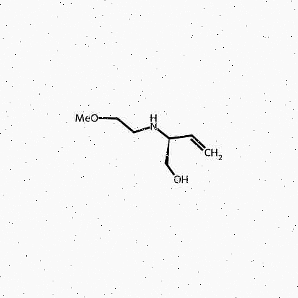 C=C[C@@H](CO)NCCOC